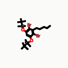 CCCCCc1c(Br)c(O[Si](C)(C)C(C)(C)C)cc(O[Si](C)(C)C(C)(C)C)c1Br